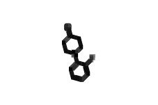 O=C1CCN(c2ccccc2F)CC1